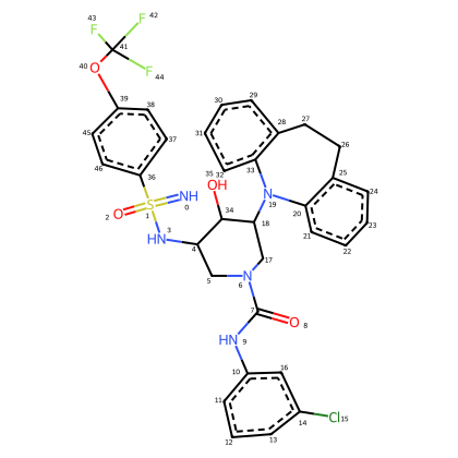 N=S(=O)(NC1CN(C(=O)Nc2cccc(Cl)c2)CC(N2c3ccccc3CCc3ccccc32)C1O)c1ccc(OC(F)(F)F)cc1